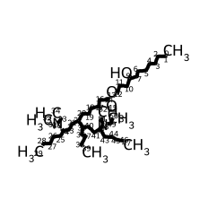 CCCCCCCCC(O)CCCOC(=O)CCCCCC(CCC(CCCCC)N(CC)CC)C(CCCC)CCC(CCCCC)N(CC)CC